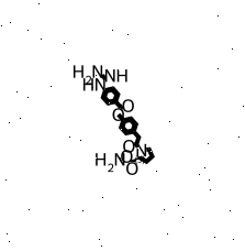 N=C(N)Nc1ccc(C(=O)Oc2ccc(CC(=O)N3CCC[C@H]3C(=O)ON)cc2)cc1